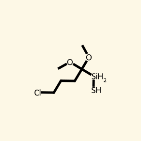 COC(CCCCl)(OC)[SiH2]S